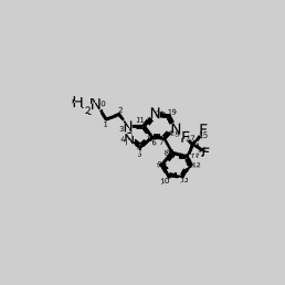 NCCn1ncc2c(-c3ccccc3C(F)(F)F)ncnc21